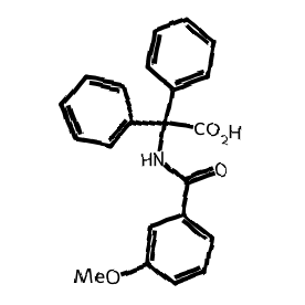 COc1cccc(C(=O)NC(C(=O)O)(c2ccccc2)c2ccccc2)c1